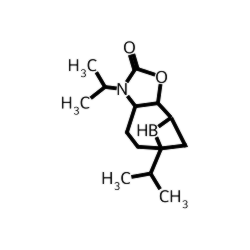 CC(C)N1C(=O)OC2C3BC(C(C)C)(CCC21)C3